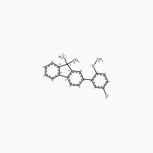 COc1ccc(Cl)cc1-c1ccc2c(c1)C(C)(C)c1ccccc1-2